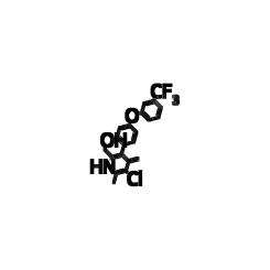 C=C1C(Cl)=C(C)NC(CO)=C1c1ccc(Oc2cccc(C(F)(F)F)c2)cc1